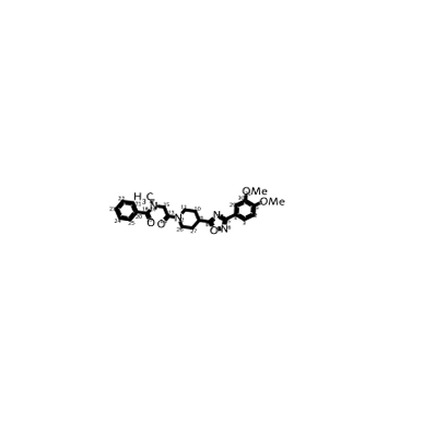 COc1ccc(-c2noc(C3CCN(C(=O)CN(C)C(=O)c4ccccc4)CC3)n2)cc1OC